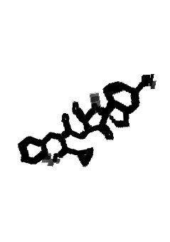 CC(C1CC1)N(Cc1ccccc1)C(=O)CN1C(=O)N[C@]2(CCc3cc(N)ccc32)C1=O